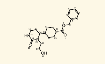 O=C(OCc1ccccc1)N1CCC(C2CCNC(=O)N2CCO)CC1